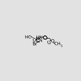 C#CCOc1nc(Nc2ccc(CC(=O)OCC)cc2)ncc1Br